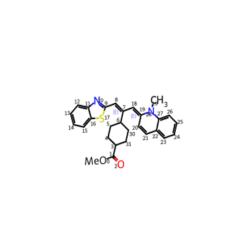 COC(=O)C1CCC(C(=C\c2nc3ccccc3s2)/C=C2\C=Cc3ccccc3N2C)CC1